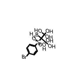 BC(C(O)(O)O)(C(O)(O)O)S(=O)(=O)c1ccc(Br)cc1